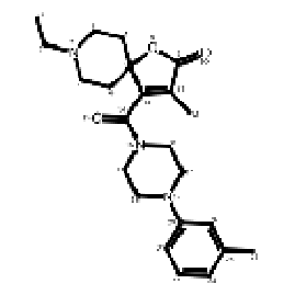 CCN1CCC2(CC1)OC(=O)C(C)=C2C(=O)N1CCN(c2cccc(C)c2)CC1